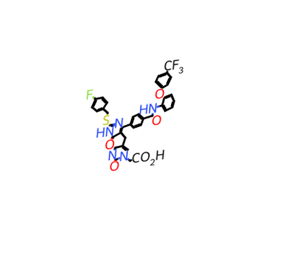 O=C(O)Cn1cc(Cc2c(-c3ccc(C(=O)Nc4ccccc4Oc4ccc(C(F)(F)F)cc4)cc3)nc(SCc3ccc(F)cc3)[nH]c2=O)cnc1=O